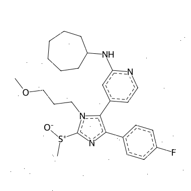 COCCCn1c([S+](C)[O-])nc(-c2ccc(F)cc2)c1-c1ccnc(NC2CCCCCC2)c1